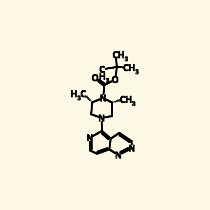 C[C@@H]1CN(c2nccc3nnccc23)C[C@H](C)N1C(=O)OC(C)(C)C